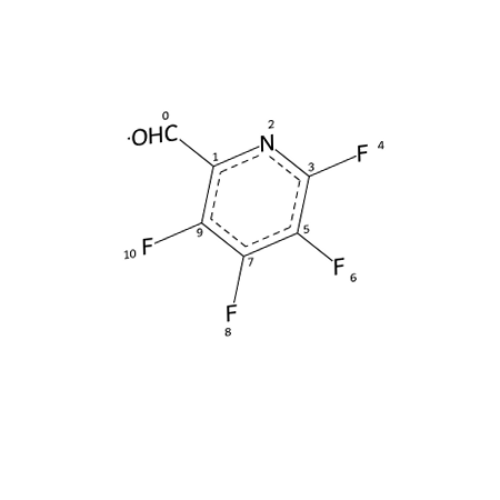 O=[C]c1nc(F)c(F)c(F)c1F